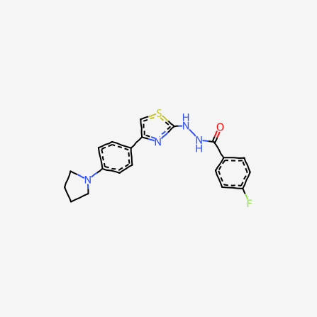 O=C(NNc1nc(-c2ccc(N3CCCC3)cc2)cs1)c1ccc(F)cc1